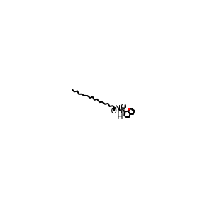 CCCCCCCCCCCCCCCCCC(=O)NNC(=O)c1cccc2ccccc12